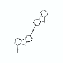 C#Cc1cccc2c1sc1ccc(C#Cc3ccc4c(c3)C(C)(C)c3ccccc3-4)cc12